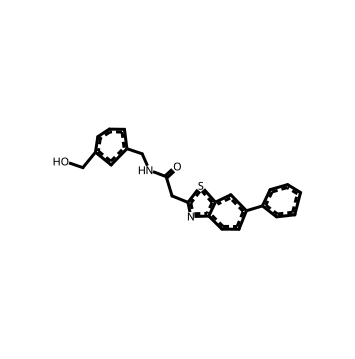 O=C(Cc1nc2ccc(-c3ccccc3)cc2s1)NCc1cccc(CO)c1